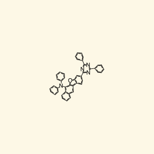 c1ccc(-c2nc(-c3ccccc3)nc(-c3ccc4c(c3)oc3c(N(c5ccccc5)c5ccccc5)c5ccccc5cc34)n2)cc1